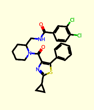 O=C(NCC1CCCCN1C(=O)c1nc(C2CC2)sc1-c1ccccc1)c1ccc(Cl)c(Cl)c1